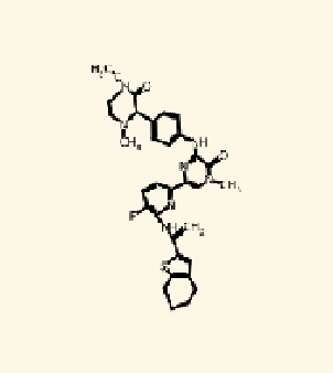 C=C(Nc1nc(-c2cn(C)c(=O)c(Nc3ccc(C4C(=O)N(CC)CCN4C)cc3)n2)ccc1F)c1cc2c(s1)CCCC2